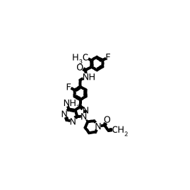 C=CC(=O)N1CCC[C@@H](n2nc(-c3ccc(CNC(=O)c4ccc(F)cc4C)c(F)c3)c3c(N)ncnc32)C1